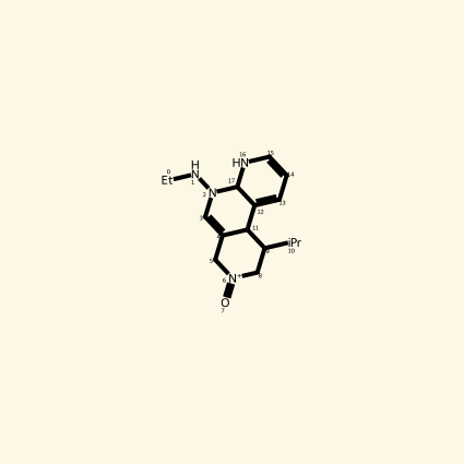 CCNN1C=C2C[N+](=O)CC(C(C)C)C2C2=CC=CNC21